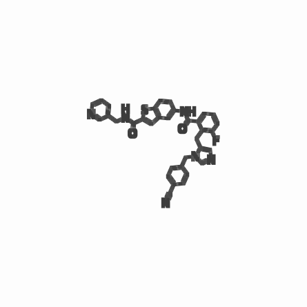 N#Cc1ccc(Cn2cncc2Cc2c(F)cccc2C(=O)Nc2ccc3sc(C(=O)NCc4cccnc4)cc3c2)cc1